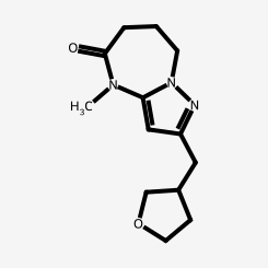 CN1C(=O)CCCn2nc(CC3CCOC3)cc21